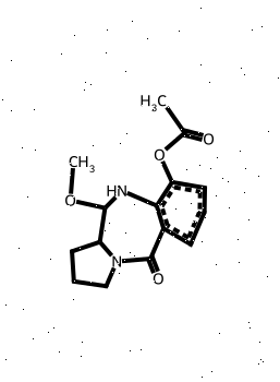 COC1Nc2c(OC(C)=O)cccc2C(=O)N2CCCC12